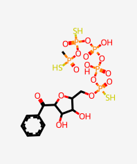 CP(=O)(S)OP(=O)(S)OP(=O)(O)OP(=O)(O)OP(=O)(S)OCC1OC(C(=O)c2ccccc2)C(O)C1O